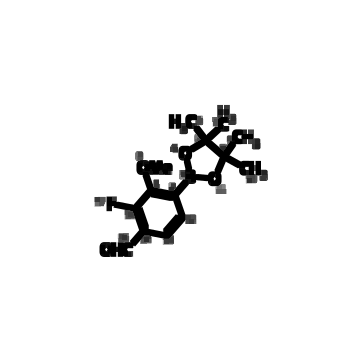 COc1c(B2OC(C)(C)C(C)(C)O2)ccc(C=O)c1F